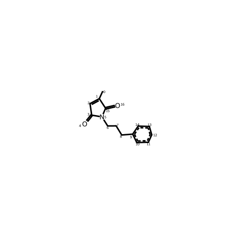 CC1=CC(=O)N(CCCc2ccccc2)C1=O